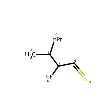 CCCC(C)C(C=S)CC